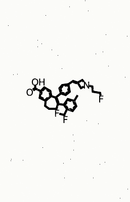 Cc1ccc(C(F)F)c(C2=C(c3ccc(C=C4CN(CCCF)C4)cc3)c3ccc(C(=O)O)cc3CCC2)c1